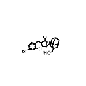 O=C1C(Cc2ccc(Br)cc2Cl)CCN1C12CC3CC(CC(CO)(C3)C1)C2